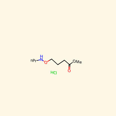 CCCNOCCCC(=O)OC.Cl